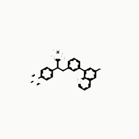 CC(C)c1cc(-c2cccc(CC(c3ccc(S(C)(=O)=O)cc3)c3nnn[nH]3)c2)c2ncccc2c1